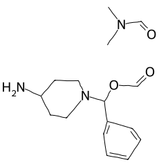 CN(C)C=O.NC1CCN(C(OC=O)c2ccccc2)CC1